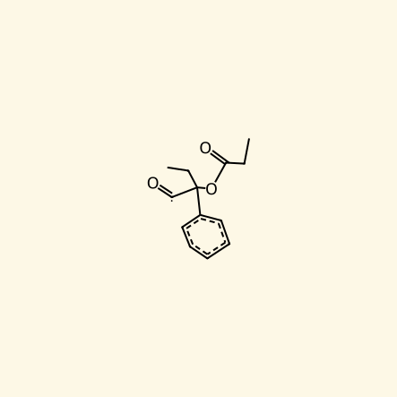 CCC(=O)OC([C]=O)(CC)c1ccccc1